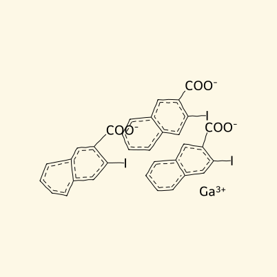 O=C([O-])c1cc2ccccc2cc1I.O=C([O-])c1cc2ccccc2cc1I.O=C([O-])c1cc2ccccc2cc1I.[Ga+3]